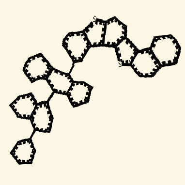 c1ccc(-c2ccc(-c3c4ccccc4c(-c4ccc5sc6ccc7c(sc8ccc9ccccc9c87)c6c5c4)c4ccccc34)c3ccccc23)cc1